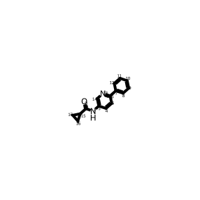 O=C(Nc1ccc(-c2ccccc2)nc1)C1CC1